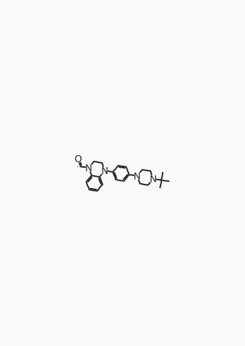 CC(C)(C)N1CCN(c2ccc(N3CCN([C]=O)c4ccccc43)cc2)CC1